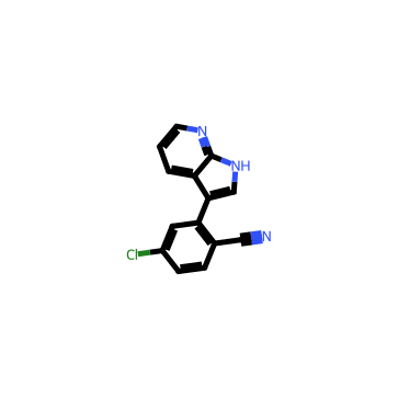 N#Cc1ccc(Cl)cc1-c1c[nH]c2ncccc12